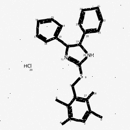 Cc1cc(C)c(C)c(CSC2=NC(c3ccccc3)C(c3ccccc3)N2)c1C.Cl